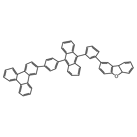 C1=CC2Oc3ccc(-c4cccc(-c5c6ccccc6c(-c6ccc(-c7ccc8c9ccccc9c9ccccc9c8c7)cc6)c6ccccc56)c4)cc3C2C=C1